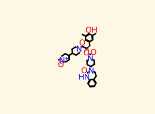 Cc1cc(C[C@@H](OC(=O)N2CCC(N3CCc4ccccc4NC3=O)CC2)C(=O)N2CCC(C3CC[N+](C)([O-])CC3)CC2)cc(C)c1O